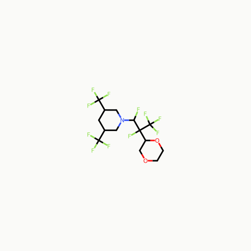 FC(N1CC(C(F)(F)F)CC(C(F)(F)F)C1)C(F)(C1COCCO1)C(F)(F)F